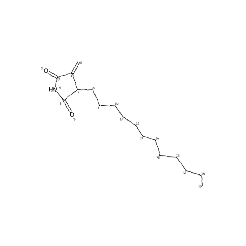 C=C1C(=O)NC(=O)C1CCCCCCCCCCCC